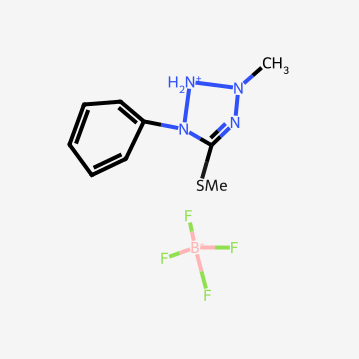 CSC1=NN(C)[NH2+]N1c1ccccc1.F[B-](F)(F)F